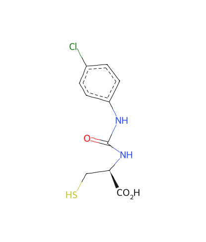 O=C(Nc1ccc(Cl)cc1)N[C@H](CS)C(=O)O